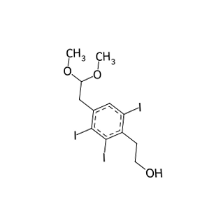 COC(Cc1cc(I)c(CCO)c(I)c1I)OC